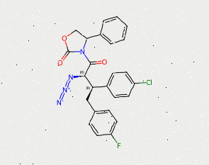 [N-]=[N+]=N[C@@H](C(=O)N1C(=O)OCC1c1ccccc1)[C@H](Cc1ccc(F)cc1)c1ccc(Cl)cc1